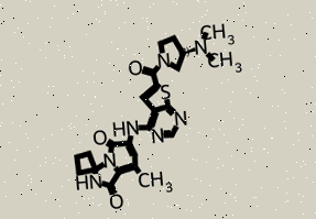 Cc1cc(Nc2ncnc3sc(C(=O)N4CC[C@@H](N(C)C)C4)cc23)c(=O)n2c1C(=O)NC21CCC1